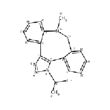 CC(I)n1nnc2c1-c1ccccc1CN(C)c1ccccc1-2